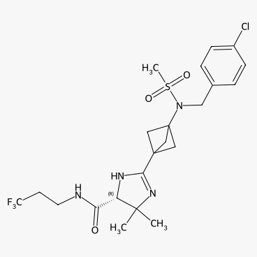 CC1(C)N=C(C23CC(N(Cc4ccc(Cl)cc4)S(C)(=O)=O)(C2)C3)N[C@H]1C(=O)NCCC(F)(F)F